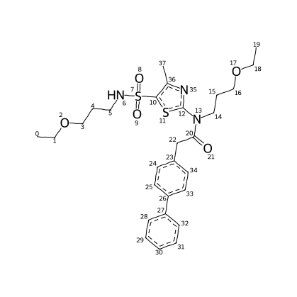 CCOCCCNS(=O)(=O)c1sc(N(CCCOCC)C(=O)Cc2ccc(-c3ccccc3)cc2)nc1C